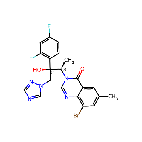 Cc1cc(Br)c2ncn([C@H](C)[C@](O)(Cn3cncn3)c3ccc(F)cc3F)c(=O)c2c1